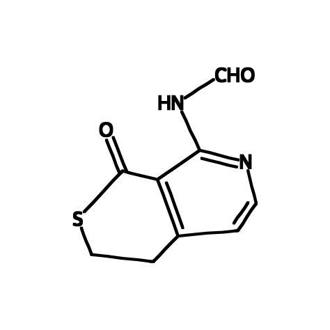 O=CNc1nccc2c1C(=O)SCC2